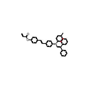 C=CC(=O)Oc1ccc(C=Cc2ccc(N(C=C(c3ccccc3)c3ccccc3)c3ccc(C)cc3)cc2)cc1